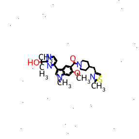 COc1cc2c(cc1C(=O)N1CCC(Cc3csc(C)n3)CC1)c(-c1ccnc(C(C)(C)O)n1)cn2C